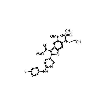 CNC(=O)c1c(-c2ccc(Nc3ccc(F)cc3)nc2)oc2cc(N(CCO)S(C)(=O)=O)c(OC)cc12